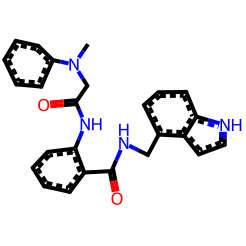 CN(CC(=O)Nc1ccccc1C(=O)NCc1cccc2[nH]ccc12)c1ccccc1